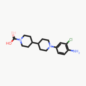 B=C(O)N1CCC(C2CCN(c3ccc(N)c(Cl)c3)CC2)CC1